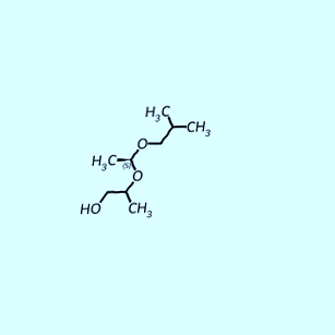 CC(C)CO[C@H](C)OC(C)CO